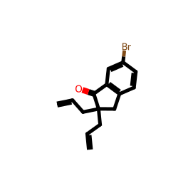 C=CCC1(CC=C)Cc2ccc(Br)cc2C1=O